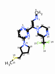 C=N/C=C(/c1nccc(N2CCC(CSC)C2)n1)N1C=C(C(F)(F)F)N=CC1